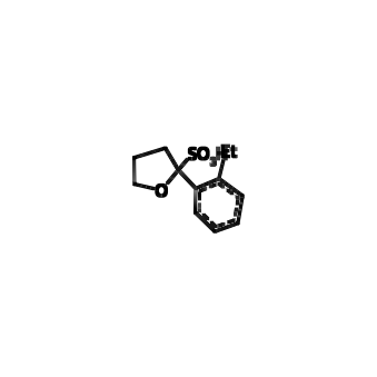 CCc1ccccc1C1(S(=O)(=O)O)CCCO1